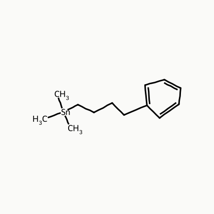 [CH3][Sn]([CH3])([CH3])[CH2]CCCc1ccccc1